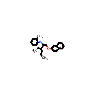 CCCC(CC)/C(COc1ccc2ccccc2c1)=N\c1ccccc1C